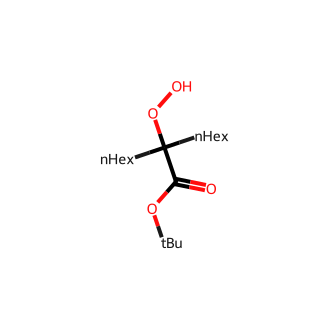 CCCCCCC(CCCCCC)(OO)C(=O)OC(C)(C)C